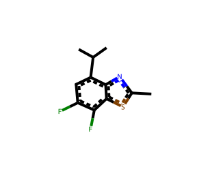 Cc1nc2c(C(C)C)cc(F)c(F)c2s1